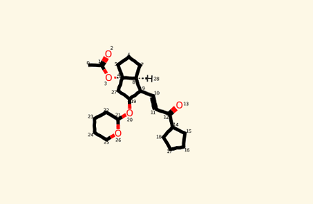 CC(=O)O[C@]12CCC[C@H]1C(/C=C/C(=O)C1CCCC1)C(OC1CCCCO1)C2